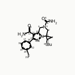 CC(C)(C)C1CC12CN(C(N)=O)Cc1c(C(N)=O)c(-c3cccc(F)c3)nn12